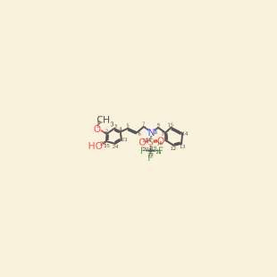 COc1cc(C=CCN(Cc2ccccc2)S(=O)(=O)C(F)(F)F)ccc1O